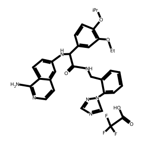 CCOc1cc(C(Nc2ccc3c(N)nccc3c2)C(=O)NCc2ccccc2-n2cncn2)ccc1OC(C)C.O=C(O)C(F)(F)F